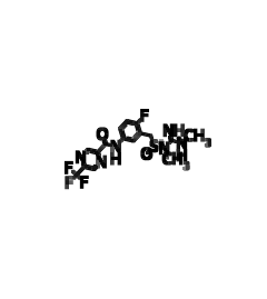 CNC(=N)N(C)[S+]([O-])Cc1cc(NC(=O)c2cnc(C(F)(F)F)cn2)ccc1F